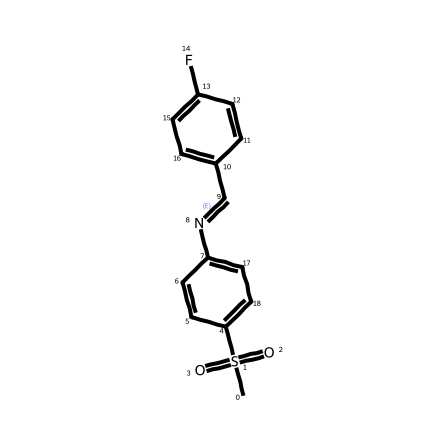 CS(=O)(=O)c1ccc(/N=C/c2ccc(F)cc2)cc1